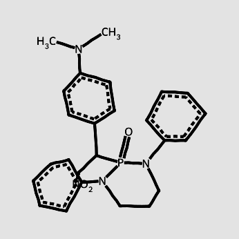 CN(C)c1ccc(C(C[N+](=O)[O-])P2(=O)N(c3ccccc3)CCCN2c2ccccc2)cc1